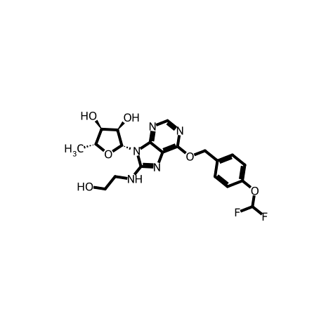 C[C@H]1O[C@@H](n2c(NCCO)nc3c(OCc4ccc(OC(F)F)cc4)ncnc32)[C@H](O)[C@@H]1O